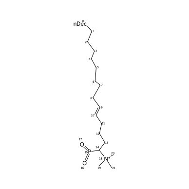 CCCCCCCCCCCCCCCCCCC=CCCCC(P(=O)=O)[N+](C)(C)C